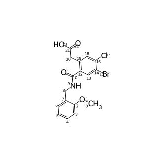 COc1ccccc1CNC(=O)c1cc(Br)c(Cl)cc1CC(=O)O